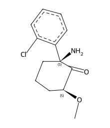 CO[C@H]1CCC[C@](N)(c2ccccc2Cl)C1=O